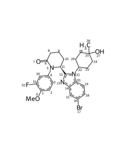 COc1ccc(N2C(=O)CCC[C@H]2c2nc3cc(Br)ccc3n2C2CCC(C)(O)CC2)cc1F